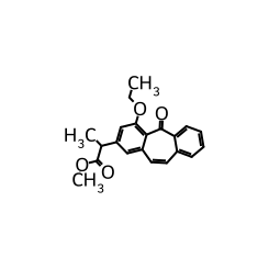 CCOc1cc(C(C)C(=O)OC)cc2ccc3ccccc3c(=O)c12